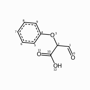 O=CC(Oc1ccccc1)C(=O)O